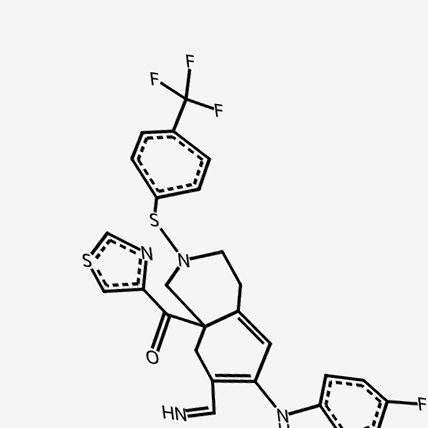 N=CC1=C(Nc2ccc(F)cc2)C=C2CCN(Sc3ccc(C(F)(F)F)cc3)CC2(C(=O)c2cscn2)C1